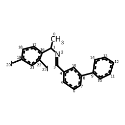 CC(N=Cc1cccc(-c2ccccc2)c1)c1ccc(I)cc1I